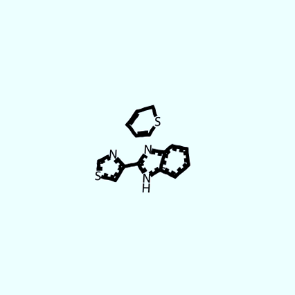 C1=CCSC=C1.c1ccc2[nH]c(-c3cscn3)nc2c1